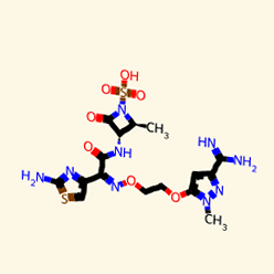 C[C@H]1[C@H](NC(=O)C(=NOCCOc2cc(C(=N)N)nn2C)c2csc(N)n2)C(=O)N1S(=O)(=O)O